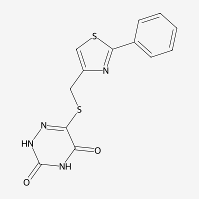 O=c1[nH]nc(SCc2csc(-c3ccccc3)n2)c(=O)[nH]1